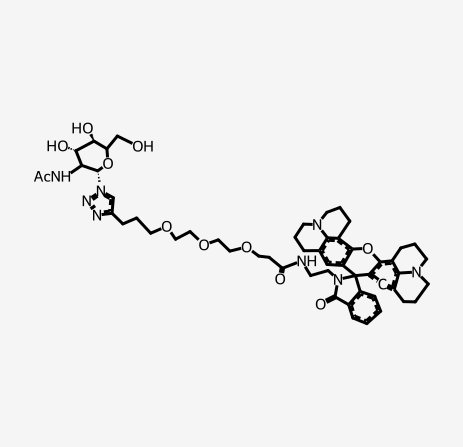 CC(=O)NC1[C@H](O)[C@@H](O)C(CO)O[C@@H]1n1cc(CCCOCCOCCOCCC(=O)NCCN2C(=O)c3ccccc3C23c2cc4c5c(c2Oc2c3cc3c6c2CCCN6CCC3)CCCN5CCC4)nn1